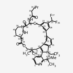 CO[C@@H](C)c1ncccc1-c1c2c3cc(ccc3n1CC(F)(F)F)-c1cc(cc(C(F)F)c1)C[C@H](NC(=O)CC(C)C)C(=O)N1CCC[C@H](N1)C(=O)OCC(C)(C)C2